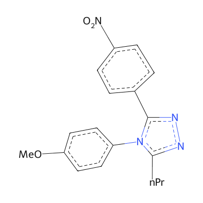 CCCc1nnc(-c2ccc([N+](=O)[O-])cc2)n1-c1ccc(OC)cc1